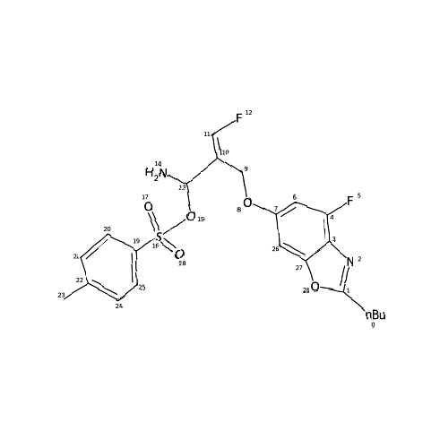 CCCCc1nc2c(F)cc(OC/C(=C\F)C(N)OS(=O)(=O)c3ccc(C)cc3)cc2o1